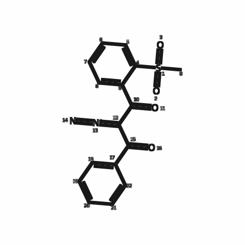 CS(=O)(=O)c1ccccc1C(=O)C(=[N+]=[N-])C(=O)c1ccccc1